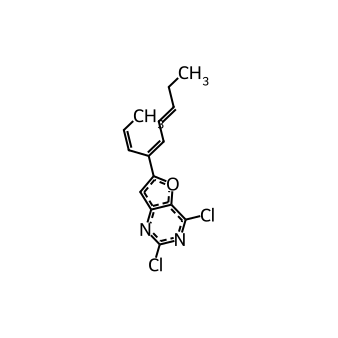 C\C=C/C(=C\C=C\CC)c1cc2nc(Cl)nc(Cl)c2o1